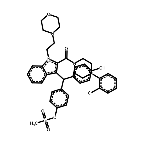 CS(=O)(=O)Oc1ccc(C(c2ccc(O)cc2)c2c(C(=O)N3CCN(c4ccccc4Cl)CC3)n(CCN3CCOCC3)c3ccccc23)cc1